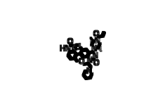 C=CC(=O)N1C[C@H](C)N(c2nc(=O)n3c4c(c(-c5c(C)ccc6[nH]c(=O)n(C)c56)c(Cl)cc24)OCC3CN2CCCCC2)C[C@H]1C